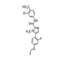 Cn1c(-c2ccc(OCF)cc2F)cnc1C(=O)Nc1ccc(C(=O)O)c(Cl)c1